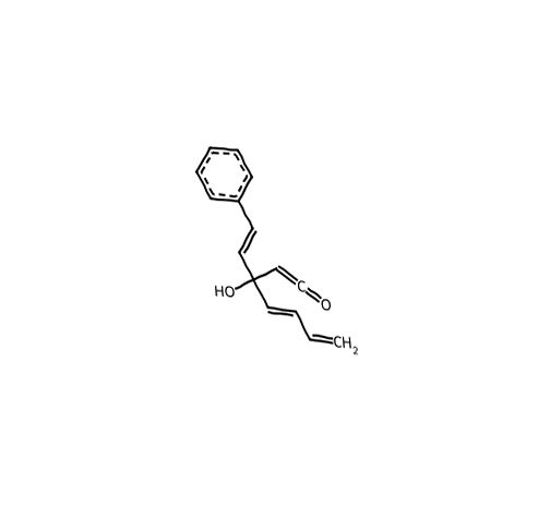 C=CC=CC(O)(C=C=O)C=Cc1ccccc1